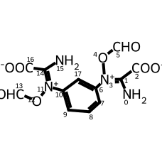 NC(C(=O)[O-])=[N+](OC=O)c1cccc([N+](OC=O)=C(N)C(=O)[O-])c1